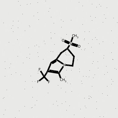 Cc1c(C(F)(F)F)cc2n1CCC(S(C)(=O)=O)C2